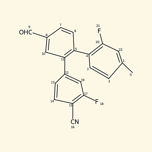 Cc1ccc(-c2ccc(C=O)cc2-c2ccc(C#N)c(F)c2)c(F)c1